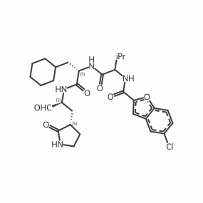 CC(C)C(NC(=O)c1cc2cc(Cl)ccc2o1)C(=O)N[C@@H](CC1CCCCC1)C(=O)N[C@H](C=O)C[C@@H]1CCNC1=O